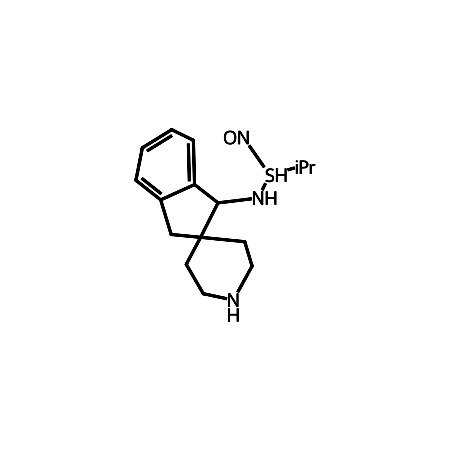 CC(C)[SH](N=O)NC1c2ccccc2CC12CCNCC2